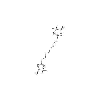 CC1(C)N=C(CCCCCCCCC2=NC(C)(C)C(=O)O2)OC1=O